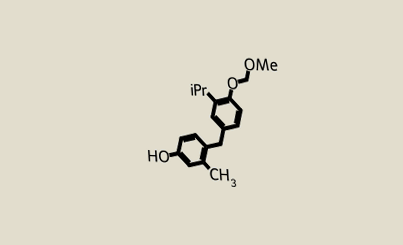 COCOc1ccc(Cc2ccc(O)cc2C)cc1C(C)C